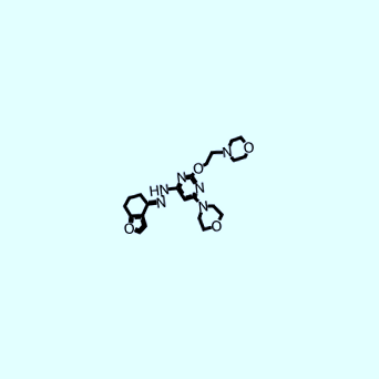 c1cc2c(o1)CCC/C2=N\Nc1cc(N2CCOCC2)nc(OCCN2CCOCC2)n1